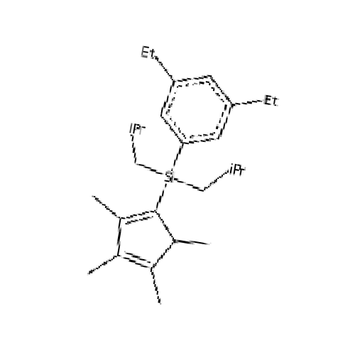 CCc1cc(CC)cc([Si](CC(C)C)(CC(C)C)C2=C(C)C(C)=C(C)C2C)c1